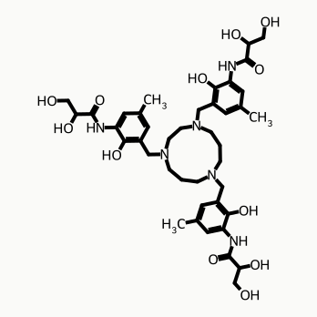 Cc1cc(CN2CCCN(Cc3cc(C)cc(NC(=O)C(O)CO)c3O)CCN(Cc3cc(C)cc(NC(=O)C(O)CO)c3O)CCC2)c(O)c(NC(=O)C(O)CO)c1